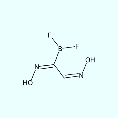 O/N=C\C(=N/O)B(F)F